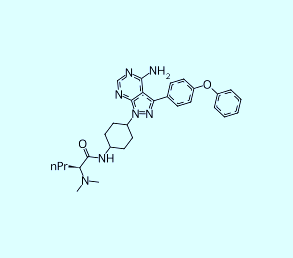 CCC[C@@H](C(=O)NC1CCC(n2nc(-c3ccc(Oc4ccccc4)cc3)c3c(N)ncnc32)CC1)N(C)C